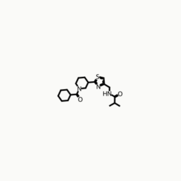 CC(C)C(=O)NCc1csc(C2CCCN(C(=O)C3CCCCC3)C2)n1